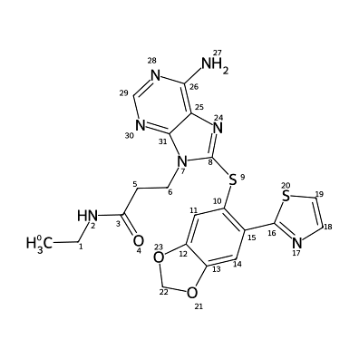 CCNC(=O)CCn1c(Sc2cc3c(cc2-c2nccs2)OCO3)nc2c(N)ncnc21